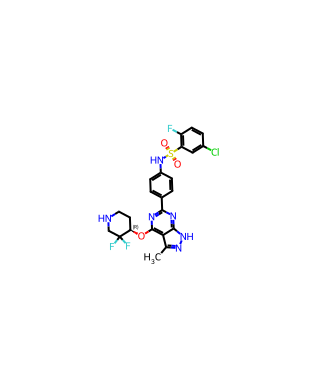 Cc1n[nH]c2nc(-c3ccc(NS(=O)(=O)c4cc(Cl)ccc4F)cc3)nc(O[C@@H]3CCNCC3(F)F)c12